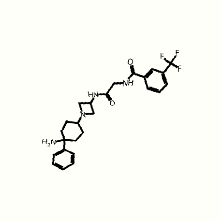 NC1(c2ccccc2)CCC(N2CC(NC(=O)CNC(=O)c3cccc(C(F)(F)F)c3)C2)CC1